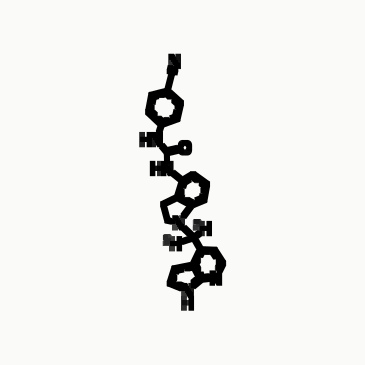 [2H]C([2H])(c1ccnc2[nH]ccc12)N1CCc2c(NC(=O)Nc3ccc(C#N)cc3)cccc21